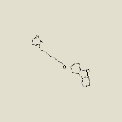 c1ccc2c(c1)oc1ccc(OCCCCCCc3ccns3)cc12